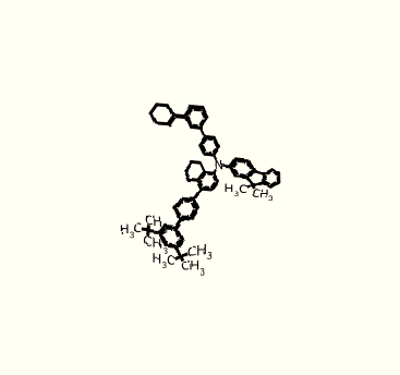 CC(C)(C)c1cc(-c2ccc(-c3ccc(N(c4ccc(-c5cccc(C6CCCCC6)c5)cc4)c4ccc5c(c4)C(C)(C)c4ccccc4-5)c4c3CCCC4)cc2)cc(C(C)(C)C)c1